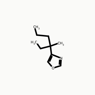 CCCC(C)(CC)c1cocn1